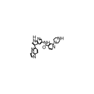 O=C(Nc1cnc2[nH]cc(-c3ccc4nccn4n3)c2c1)c1ccnc(N2CCNCC2)c1